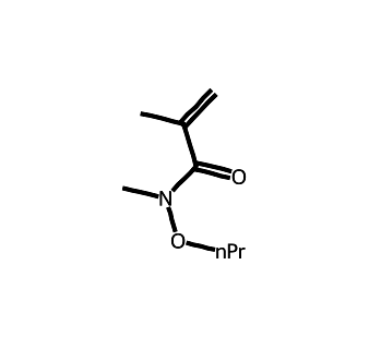 C=C(C)C(=O)N(C)OCCC